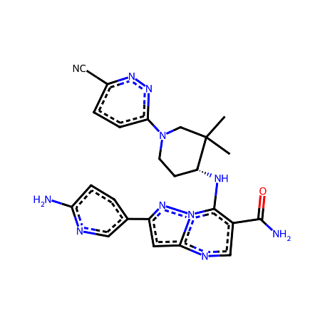 CC1(C)CN(c2ccc(C#N)nn2)CC[C@H]1Nc1c(C(N)=O)cnc2cc(-c3ccc(N)nc3)nn12